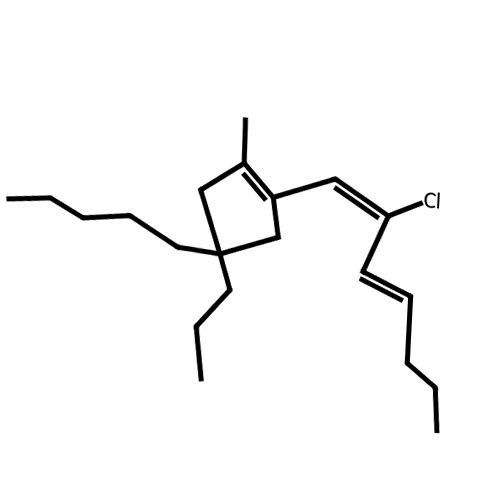 CCC/C=C/C(Cl)=C\C1=C(C)CC(CCC)(CCCCC)C1